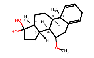 COC1CC2=CCC=C[C@]2(C)[C@@H]2CC[C@@]3(C)[C@@H](CCC3(O)O)[C@H]12